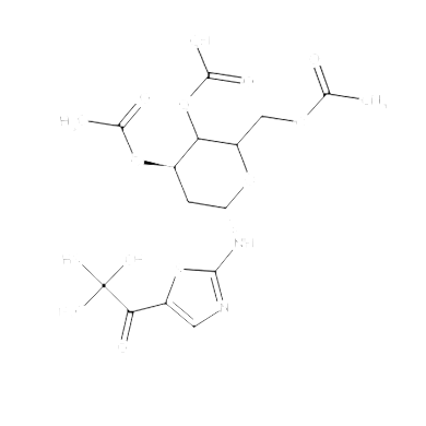 CC(=O)OCC1O[C@H](Nc2ncc(C(=O)C(C)(C)S)s2)C[C@@H](OC(C)=O)C1OC(C)=O